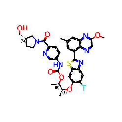 COc1cnc2c(-c3nc4cc(F)c(O[C@@H](C)[C@@H](C)OC(=O)Nc5ccc(C(=O)N6CC[C@H](CO)C6)nc5)cc4s3)cc(C)cc2n1